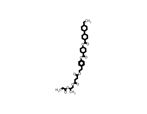 C=CC(=O)OC(C)COC(=O)CCC(=O)OCCc1ccc(OC(=O)C2CCC(OC(=O)C3CCC(C4CCC(CC)CC4)CC3)CC2)cc1